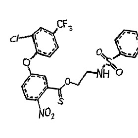 O=[N+]([O-])c1ccc(Oc2ccc(C(F)(F)F)cc2Cl)cc1C(=S)OCCNS(=O)(=O)c1ccccc1